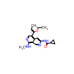 C/C=C(\OCC)c1cnc(NC)c2cnc(NC(=O)C3CC3)cc12